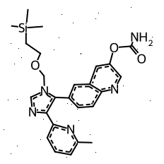 Cc1cccc(-c2ncn(COCC[Si](C)(C)C)c2-c2ccc3ncc(OC(N)=O)cc3c2)n1